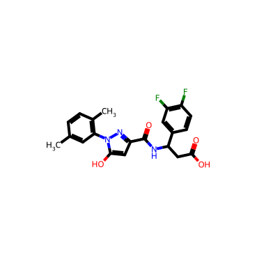 Cc1ccc(C)c(-n2nc(C(=O)NC(CC(=O)O)c3ccc(F)c(F)c3)cc2O)c1